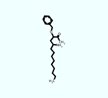 CCCCCCCCCC(N)CC(OCc1ccccc1)C(C)=O